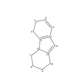 C1=CC2=C(CC1)C1CCCCC1=C2